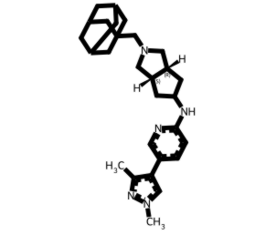 Cc1nn(C)cc1-c1ccc(NC2C[C@@H]3CN(CC45CC6CC(CC(C6)C4)C5)C[C@@H]3C2)nc1